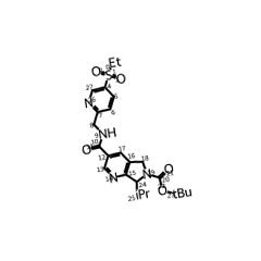 CCS(=O)(=O)c1ccc(CNC(=O)c2cnc3c(c2)CN(C(=O)OC(C)(C)C)C3C(C)C)nc1